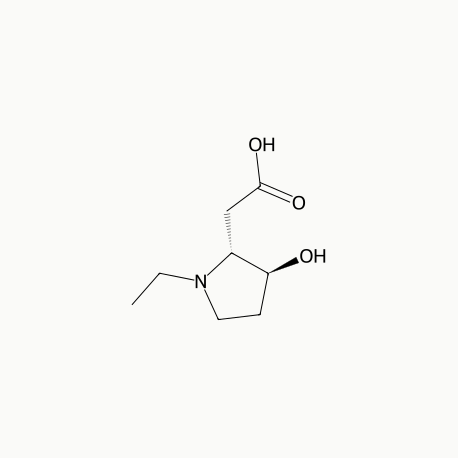 CCN1CC[C@H](O)[C@H]1CC(=O)O